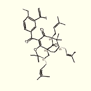 C=C(I)c1cc(C(=O)C2=C3OC(C)(C)[C@@H](CC=C(C)C)C[C@@]34C[C@@H](CC=C(C)C)C(C)(C)[C@@](CC=C(C)C)(C2=O)C4=O)ccc1CC